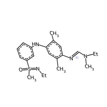 CCN=S(C)(=O)c1cccc(Nc2cc(C)c(/N=C/N(C)CC)cc2C)c1